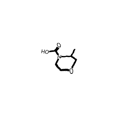 CC1COCCN1C(=O)O